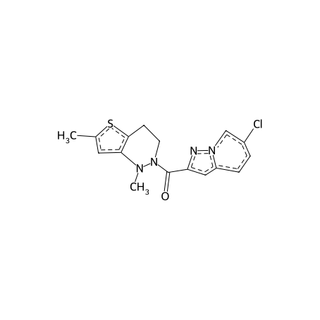 Cc1cc2c(s1)CCN(C(=O)c1cc3ccc(Cl)cn3n1)N2C